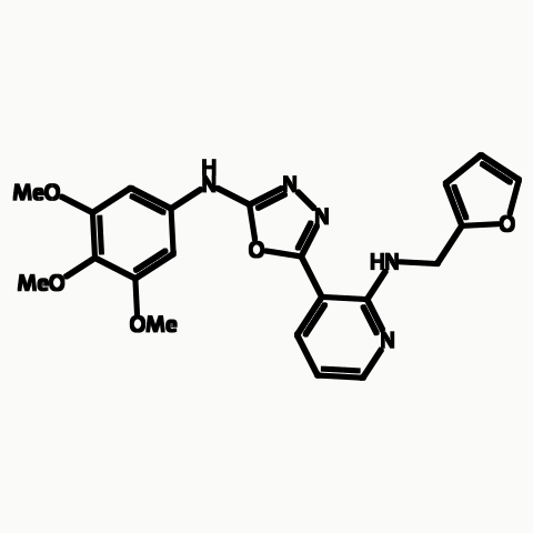 COc1cc(Nc2nnc(-c3cccnc3NCc3ccco3)o2)cc(OC)c1OC